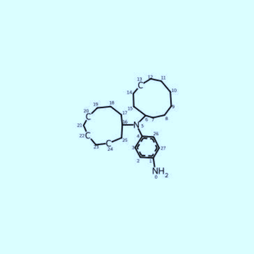 Nc1ccc(N(C2CCCCCCCCC2)C2CCCCCCCCC2)cc1